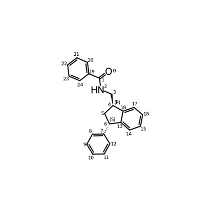 O=C(NC[C@@H]1C[C@@H](c2ccccc2)c2ccccc21)c1ccccc1